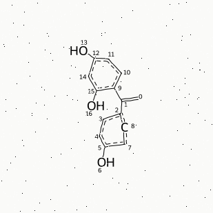 C=C(c1ccc(O)cc1)c1ccc(O)cc1O